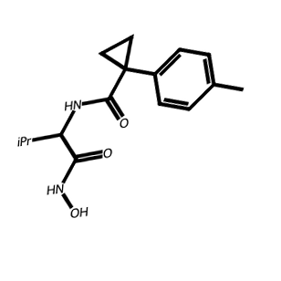 Cc1ccc(C2(C(=O)NC(C(=O)NO)C(C)C)CC2)cc1